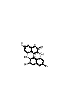 Oc1c(Br)cc2cc(F)ccc2c1-c1c(O)c(Br)cc2cc(F)ccc12